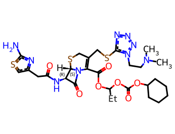 CCC(OC(=O)OC1CCCCC1)OC(=O)C1=C(CSc2nnnn2CCN(C)C)CS[C@H]2[C@H](NC(=O)Cc3csc(N)n3)C(=O)N12